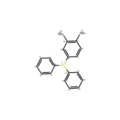 CC(C)(C)c1ccc([S+](c2ccccc2)c2ccccc2)cc1C(C)(C)C